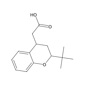 CC(C)(C)C1CC(CC(=O)O)c2ccccc2O1